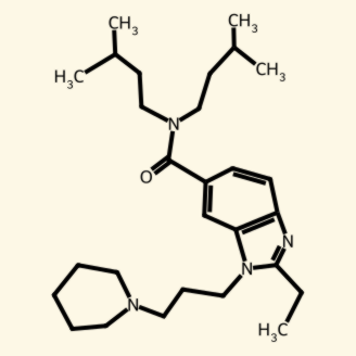 CCc1nc2ccc(C(=O)N(CCC(C)C)CCC(C)C)cc2n1CCCN1CCCCC1